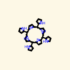 C1=Cc2nc1c(-c1ccc[nH]1)c1ccc([nH]1)c(-c1ccc[nH]1)c1nc(c(-c3ccc[nH]3)c3ccc([nH]3)c2-c2ccc[nH]2)C=C1